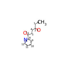 CCC(=O)CCC(=O)c1ccccn1